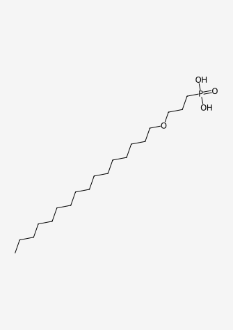 CCCCCCCCCCCCCCCCOCCCP(=O)(O)O